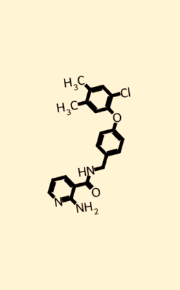 Cc1cc(Cl)c(Oc2ccc(CNC(=O)c3cccnc3N)cc2)cc1C